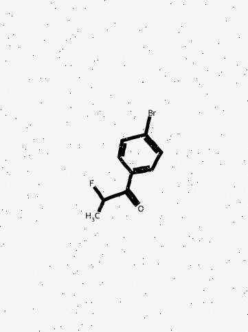 CC(F)C(=O)c1ccc(Br)cc1